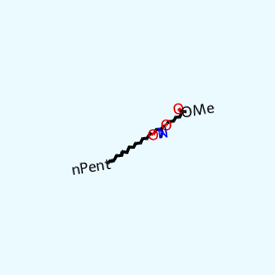 CCCCCC=CCC=CCCCCCCCCOCC(COCCCCC(=O)OC)N(C)C